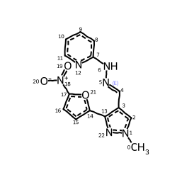 Cn1cc(/C=N/Nc2ccccn2)c(-c2ccc([N+](=O)[O-])o2)n1